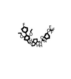 CCOc1cc(CN2CC[C@H]3C(Nc4nc5ccc(OC(F)(F)F)cc5o4)CC[C@H]32)cc(OCC)c1-c1ccc(F)cc1